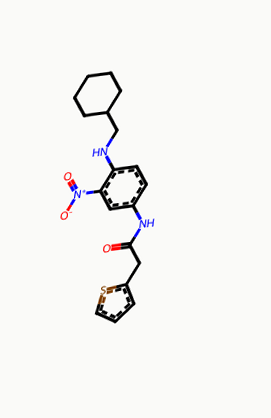 O=C(Cc1cccs1)Nc1ccc(NCC2CCCCC2)c([N+](=O)[O-])c1